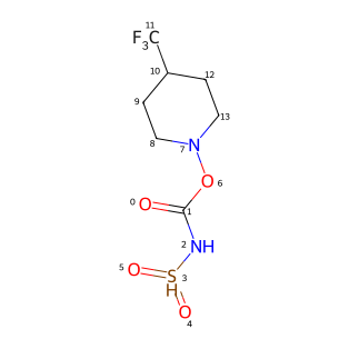 O=C(N[SH](=O)=O)ON1CCC(C(F)(F)F)CC1